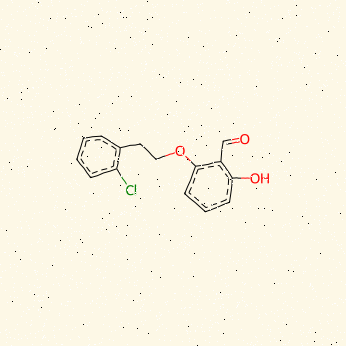 O=Cc1c(O)cccc1OCCc1ccccc1Cl